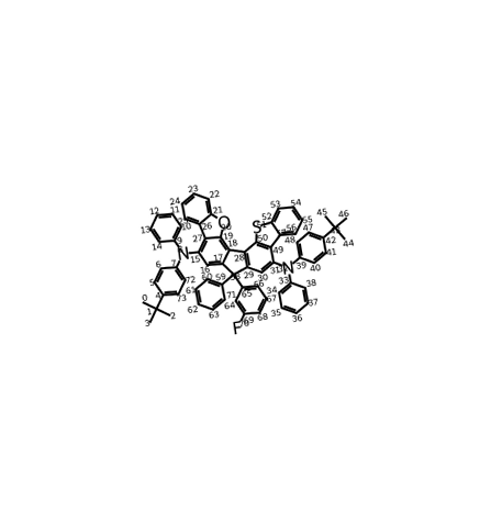 CC(C)(C)c1ccc(N(c2ccccc2)c2cc3c(c4oc5ccccc5c24)-c2c(cc(N(c4ccccc4)c4ccc(C(C)(C)C)cc4)c4c2sc2ccccc24)C3(c2ccccc2)c2cccc(F)c2)cc1